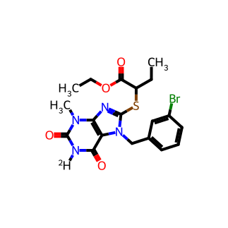 [2H]n1c(=O)c2c(nc(SC(CC)C(=O)OCC)n2Cc2cccc(Br)c2)n(C)c1=O